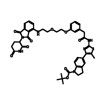 Cc1sc(NC(=O)Cc2cccc(OCCOCCNc3cccc4c3C(=O)N(C3CCC(=O)NC3=O)C4=O)c2)nc1-c1ccc2c(c1)CCN2C(=O)OC(C)(C)C